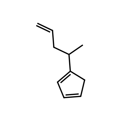 C=CCC(C)C1=CC=CC1